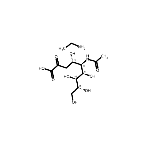 CC(=O)N[C@@H]([C@@H](O)[C@H](O)[C@H](O)CO)[C@@H](O)CC(=O)C(=O)O.CCN